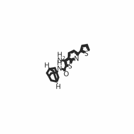 Nc1c(C(=O)NC23CC4C[C@H](C2)C[C@H](C4)C3)sc2nc(-c3cccs3)ccc12